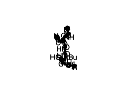 Cc1ncsc1-c1ccc(CNC(=O)[C@@H]2C[C@@H](O)CN2C(=O)[C@@H](NC(=O)CCNC(=O)COc2cc(C(=O)Nc3nc(-c4ccccn4)cs3)cc(C(=O)N3CCN(C)CC3)c2)C(C)(C)C)cc1